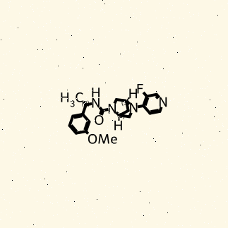 COc1cccc([C@@H](C)NC(=O)N2C[C@@H]3C[C@H]2CN3c2ccncc2F)c1